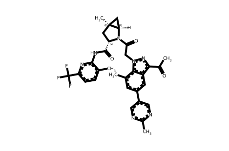 CC(=O)c1nn(CC(=O)N2[C@H](C(=O)Nc3nc(C(F)(F)F)ccc3C)C[C@@]3(C)C[C@@H]23)c2c(C)cc(-c3cnc(C)nc3)cc12